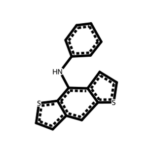 c1ccc(Nc2c3ccsc3cc3ccsc23)cc1